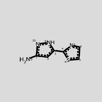 Nc1cc(-c2nccs2)[nH]n1